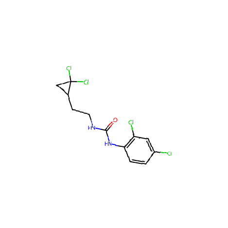 O=C(NCCC1CC1(Cl)Cl)Nc1ccc(Cl)cc1Cl